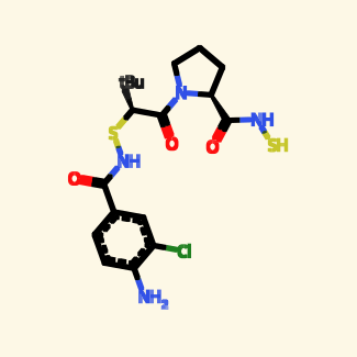 CC(C)(C)[C@H](SNC(=O)c1ccc(N)c(Cl)c1)C(=O)N1CCC[C@H]1C(=O)NS